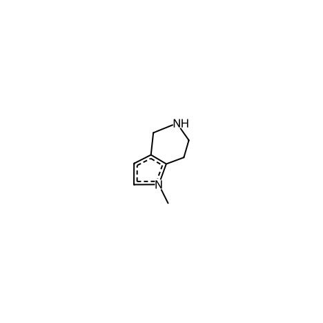 Cn1ccc2c1CCNC2